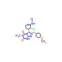 COc1ccc(Cn2nc3[nH]c(=O)n(C)c(=O)c3c2-c2ccnc(NC3CC3)c2Cl)cc1